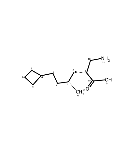 C[C@H](CCC1CCC1)C[C@H](CN)C(=O)O